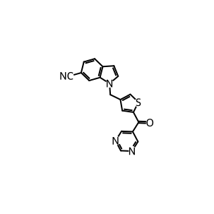 N#Cc1ccc2ccn(Cc3csc(C(=O)c4cncnc4)c3)c2c1